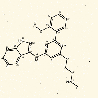 CNCCCc1cc(Nc2n[nH]c3ncccc23)nc(-c2ccccc2CF)n1